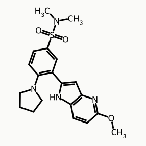 COc1ccc2[nH]c(-c3cc(S(=O)(=O)N(C)C)ccc3N3CCCC3)cc2n1